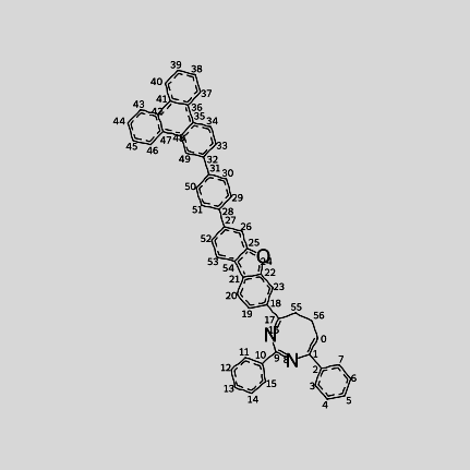 C1=C(c2ccccc2)/N=C(c2ccccc2)\N=C(\c2ccc3c(c2)oc2cc(-c4ccc(-c5ccc6c7ccccc7c7ccccc7c6c5)cc4)ccc23)CC\1